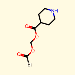 CCC(=O)OCOC(=O)C1CCNCC1